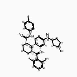 Cc1ccc(NC(=O)[C@H]2CCCN(C(=O)c3c(C)cccc3F)[C@H]2C2C=CC(NC3CC[C@@H](C)C3)=CC2)cc1